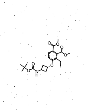 CCc1c(O[C@H]2C[C@H](NC(=O)OC(C)(C)C)C2)ccc(C(=O)OC)c1C(=O)OC